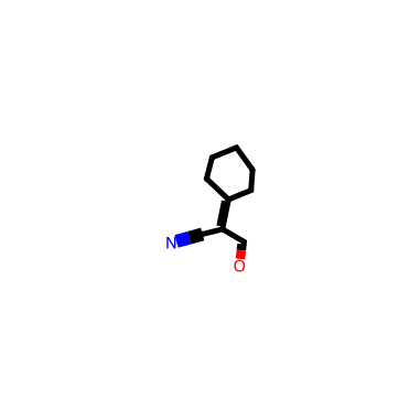 N#CC(C=O)=C1CCCCC1